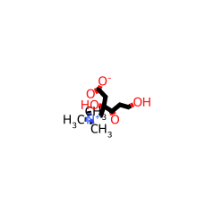 C[N+](C)(C)CC(O)(CC(=O)[O-])C(=O)CCO